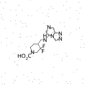 O=C(O)N1CCC(CNc2cncc3nncn23)C(F)(F)C1